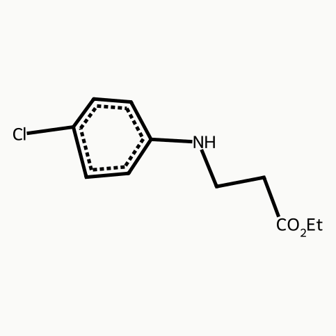 CCOC(=O)CCNc1ccc(Cl)cc1